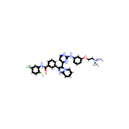 CN(C)CCOc1cccc(Nc2nccc(-c3c(-c4cccc(C(=O)Nc5cc(Cl)ccc5F)c4)nc4ccccn34)n2)c1